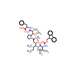 CC[C@H](C)[C@@H]([C@@H](CC(=O)N1CCCC1[C@H](OC)[C@@H](C)C(=O)NC(Cc1ccccc1)C(=O)O)OC)N(C)C(=O)C(NC(=O)OCC1c2ccccc2-c2ccccc21)C(C)C